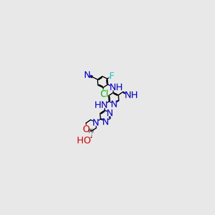 N#Cc1cc(F)c(Nc2cc(Nc3cc(N4CCO[C@@H](CO)C4)ncn3)ncc2C=N)c(Cl)c1